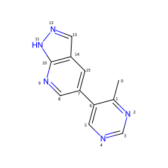 Cc1ncncc1-c1cnc2[nH]ncc2c1